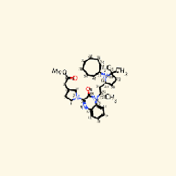 COC(=O)CC1CCN(c2nc3ccccc3n([C@@H](C)C[C@@H]3CCC(C)(C)N3C3CCCCCCC3)c2=O)C1